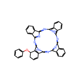 C1=Cc2c(c3nc4nc(nc5[nH]c(nc6nc(nc2[nH]3)-c2ccccc2-6)c2ccccc52)-c2ccccc2-4)C(Oc2ccccc2)C1